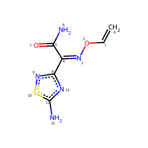 C=CO/N=C(\C(N)=O)c1nsc(N)n1